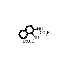 CCOC(=O)Nc1ccc2ccccc2c1NC(=O)OCC